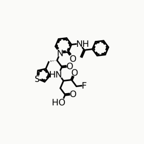 C=C(Nc1cccn([C@@H](Cc2ccsc2)C(=O)NC(CC(=O)O)C(=O)CF)c1=O)c1ccccc1